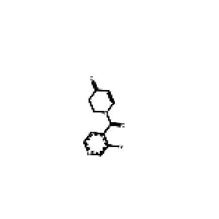 O=C1C=CN(C(=O)c2ccncc2Br)CC1